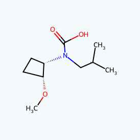 CO[C@@H]1CC[C@@H]1N(C[C](C)C)C(=O)O